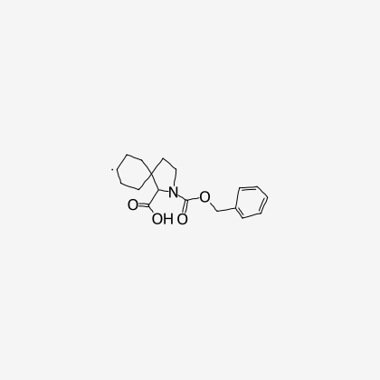 O=C(O)C1N(C(=O)OCc2ccccc2)CCC12CC[CH]CC2